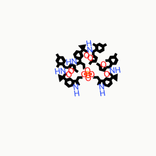 Cc1ccc(C(NC(=O)C2(c3ccc4[nH]cc(CCOP(=O)(OCCc5c[nH]c6ccc(C7(C(=O)NC(c8ccc(C)o8)c8ccc(C)cc8C)CC7)cc56)OCCc5c[nH]c6ccc(C7(C(=O)NC(c8ccc(C)o8)c8ccc(C)cc8C)CC7)cc56)c4c3)CC2)c2ccc(C)o2)c(C)c1